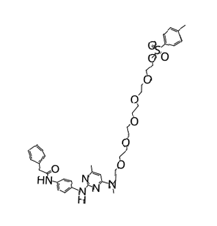 Cc1ccc(S(=O)(=O)OCCOCCOCCOCCOCCOCCN(C)c2cc(C)nc(Nc3ccc(NC(=O)Cc4ccccc4)cc3)n2)cc1